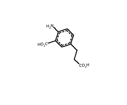 Nc1ccc(CCC(=O)O)cc1C(=O)O